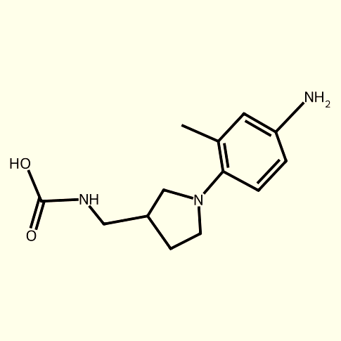 Cc1cc(N)ccc1N1CCC(CNC(=O)O)C1